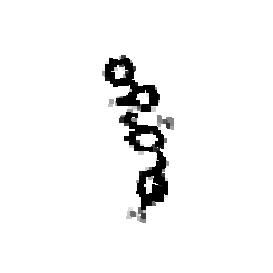 Cl.O=c1c(-c2ccccc2)ccnn1CC1CCN(Cc2ccc(O)cc2)CC1